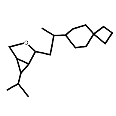 CC(C)C1C2COC(CC(C)C3CCC4(CCC4)CC3)C21